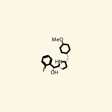 CO[C@H]1CC[C@H](C[C@@H]2CC[C@H]([C@H](O)c3ccccc3F)N2)CC1